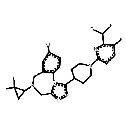 Fc1ccc(N2CCC(c3nnc4n3-c3ccc(Cl)cc3CN(C3CC3(F)F)C4)CC2)nc1C(F)F